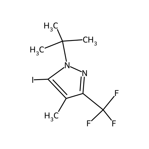 Cc1c(C(F)(F)F)nn(C(C)(C)C)c1I